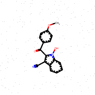 COc1ccc(C(=O)c2c(C#N)c3ccccc3n2O)cc1